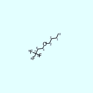 CCC[CH]OCCC(F)(F)F